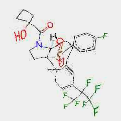 CC12CC=C(C(F)(C(F)(F)F)C(F)(F)F)C=C1CC[C@@H]1N(C(=O)C3(O)CCC3)CC[C@@]12S(=O)(=O)c1ccc(F)cc1